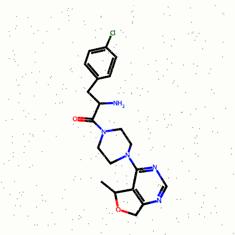 CC1OCc2ncnc(N3CCN(C(=O)C(N)Cc4ccc(Cl)cc4)CC3)c21